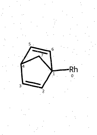 [Rh][C]12C=CC(C=C1)C2